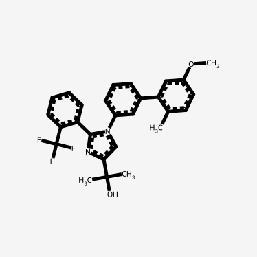 COc1ccc(C)c(-c2cccc(-n3cc(C(C)(C)O)nc3-c3ccccc3C(F)(F)F)c2)c1